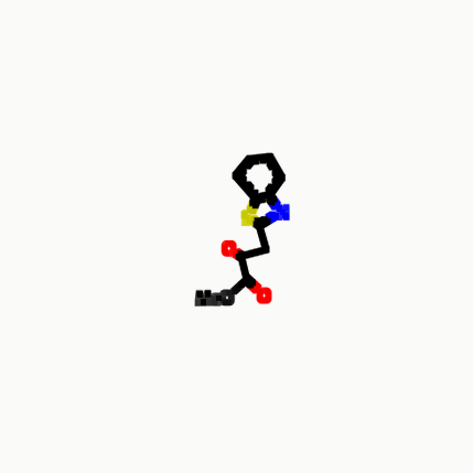 COC(=O)C(=O)Cc1nc2ccccc2s1